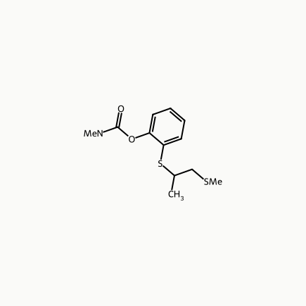 CNC(=O)Oc1ccccc1SC(C)CSC